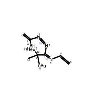 BC(=C)/N=N\C(=N/C=C)C(C)(CCCC)CCCCCC